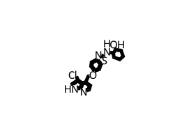 O[C@@H]1CCCCC1Nc1nc2ccc(OCc3ccnc4[nH]cc(Cl)c34)cc2s1